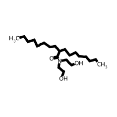 CCCCCCCCC(CCCCCCCC)C(=O)N(CCO)CCO